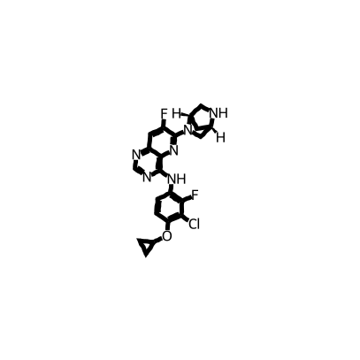 Fc1cc2ncnc(Nc3ccc(OC4CC4)c(Cl)c3F)c2nc1N1C[C@@H]2C[C@H]1CN2